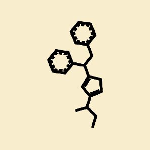 CCC(C)C1=CCC(C(Cc2ccccc2)c2ccccc2)=C1